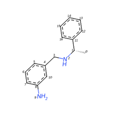 C[C@H](NCc1cccc(N)c1)c1ccccc1